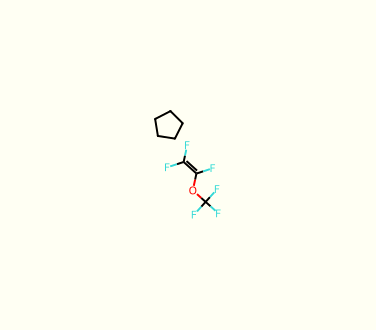 C1CCCC1.FC(F)=C(F)OC(F)(F)F